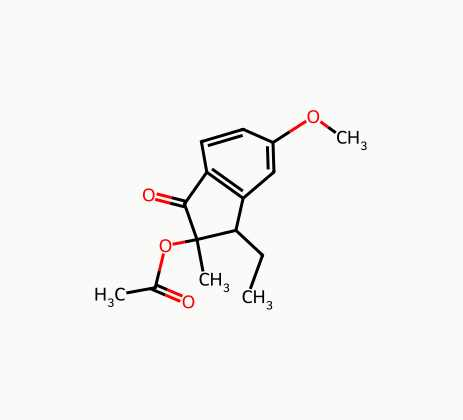 CCC1c2cc(OC)ccc2C(=O)C1(C)OC(C)=O